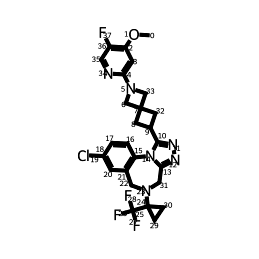 COc1cc(N2CC3(CC(c4nnc5n4-c4ccc(Cl)cc4CN(C4(C(F)(F)F)CC4)C5)C3)C2)ncc1F